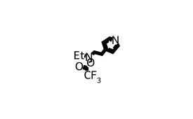 CCN(CCc1ccncc1)OC(=O)C(F)(F)F